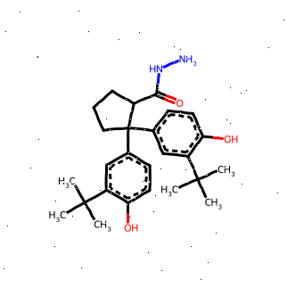 CC(C)(C)c1cc(C2(c3ccc(O)c(C(C)(C)C)c3)CCCC2C(=O)NN)ccc1O